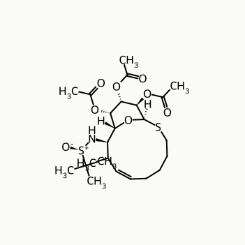 CC(=O)O[C@@H]1[C@H](OC(C)=O)[C@@H](OC(C)=O)[C@@H]2O[C@@H]1[C@H](N[S@+]([O-])C(C)(C)C)C(C)/C=C\CCCCS2